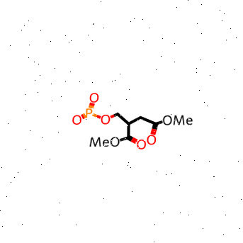 COC(=O)CC(COP(=O)=O)C(=O)OC